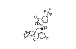 O=[N+]([O-])c1cc(C(F)(F)F)ccc1S(=O)(=O)NCC(O)(Cn1cncn1)c1ccc(Cl)cc1Cl